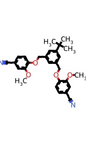 COc1cc(C#N)ccc1OCc1cc(COc2ccc(C#N)cc2OC)cc(C(C)(C)C)c1